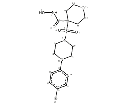 O=C(NO)C1(S(=O)(=O)N2CCN(c3ccc(Br)cn3)CC2)CCOCC1